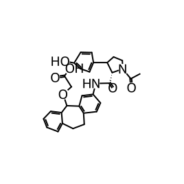 CC(=O)N1CCC(c2ccc(O)cc2)[C@H]1C(=O)Nc1ccc2c(c1)C(OCC(=O)O)c1ccccc1CC2